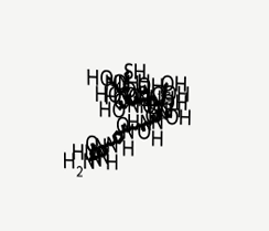 Nc1nc2ncc(CNc3ccc(C(=O)NCCCC(=O)NCC(=O)N[C@@H](CC(=O)O)C(=O)N[C@H](C(=O)N[C@@H](CC(=O)O)C(=O)NCC(=O)N[C@@H](CC(=O)O)C(=O)N[C@H](C(=O)NCCS)[C@@H](O)[C@H](O)CCO)[C@@H](O)[C@H](O)[C@H](O)CO)cc3)nc2c(=O)[nH]1